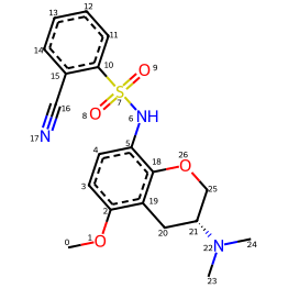 COc1ccc(NS(=O)(=O)c2ccccc2C#N)c2c1C[C@@H](N(C)C)CO2